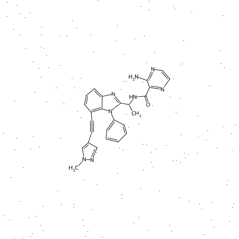 CC(NC(=O)c1nccnc1N)c1nc2cccc(C#Cc3cnn(C)c3)c2n1-c1ccccc1